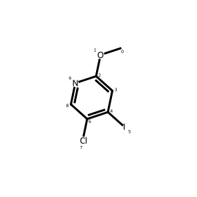 COc1cc(I)c(Cl)cn1